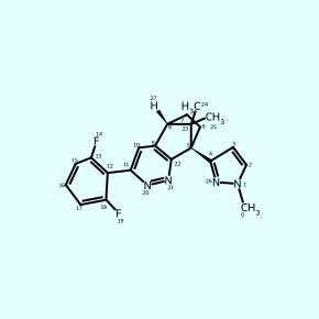 Cn1ccc([C@@]23CC[C@@H](c4cc(-c5c(F)cccc5F)nnc42)C3(C)C)n1